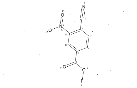 N#Cc1ccc(C(=O)OF)cc1[N+](=O)[O-]